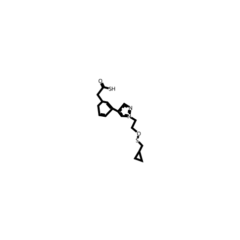 O=C(S)CC1C=C(c2cnn(CCOSCC3CC3)c2)C=CC1